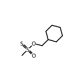 CS(=O)(=S)OCC1CCCCC1